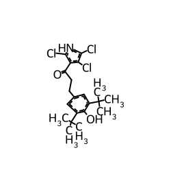 CC(C)(C)c1cc(CCC(=O)c2c(Cl)[nH]c(Cl)c2Cl)cc(C(C)(C)C)c1O